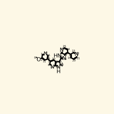 COc1cncc(-c2cnc3[nH]nc(-c4nc5c(-c6cccnc6)ccnc5[nH]4)c3c2)c1